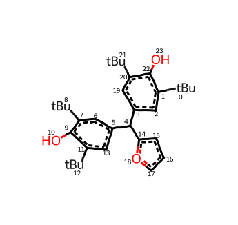 CC(C)(C)c1cc(C(c2cc(C(C)(C)C)c(O)c(C(C)(C)C)c2)c2ccco2)cc(C(C)(C)C)c1O